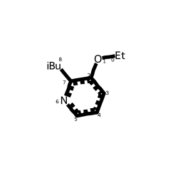 CCOc1cccnc1C(C)CC